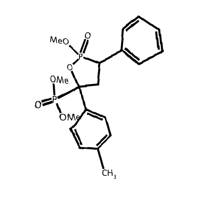 COP1(=O)OC(c2ccc(C)cc2)(P(=O)(OC)OC)CC1c1ccccc1